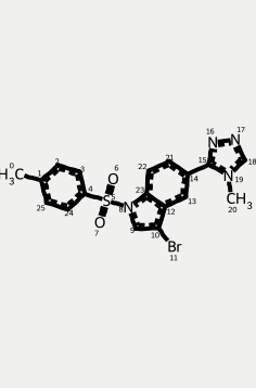 Cc1ccc(S(=O)(=O)n2cc(Br)c3cc(-c4nncn4C)ccc32)cc1